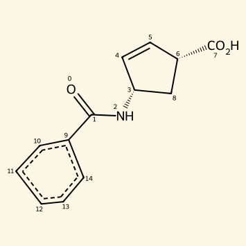 O=C(N[C@@H]1C=C[C@H](C(=O)O)C1)c1ccccc1